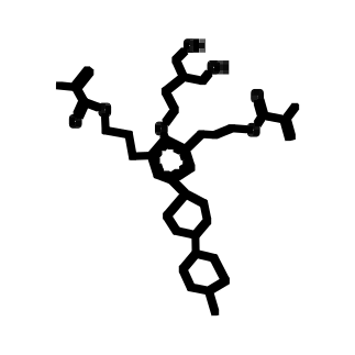 C=C(C)C(=O)OCCCc1cc(C2CCC(C3CCC(C)CC3)CC2)cc(CCCOC(=O)C(=C)C)c1OCCC(CO)CO